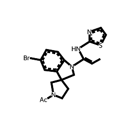 CC=C(Nc1nccs1)N1CC2(CCN(C(C)=O)C2)c2cc(Br)ccc21